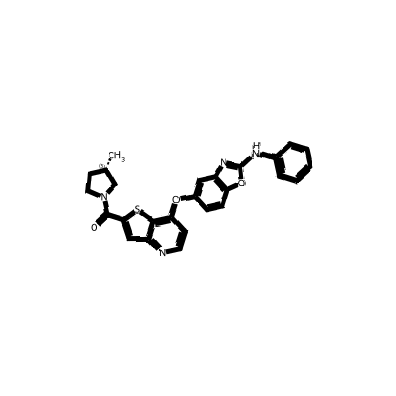 C[C@H]1CCN(C(=O)c2cc3nccc(Oc4ccc5oc(Nc6ccccc6)nc5c4)c3s2)C1